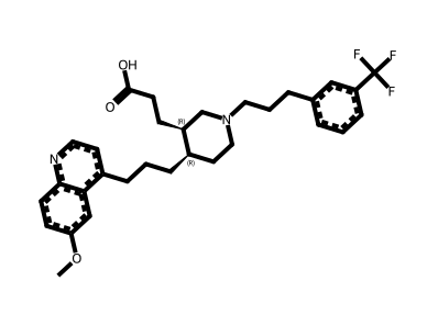 COc1ccc2nccc(CCC[C@@H]3CCN(CCCc4cccc(C(F)(F)F)c4)C[C@@H]3CCC(=O)O)c2c1